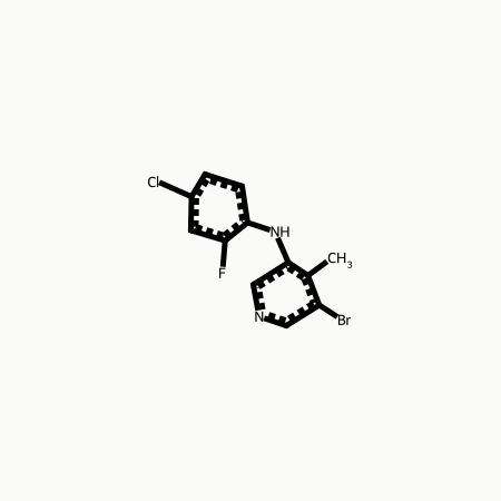 Cc1c(Br)cncc1Nc1ccc(Cl)cc1F